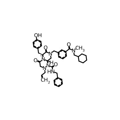 C=CCN1CC(=O)N2[C@@H](Cc3ccc(O)cc3)C(=O)N(Cc3cccc(C(=O)N(C)CC4CCCCC4)c3)C[C@@H]2N1C(=O)NCc1ccccc1